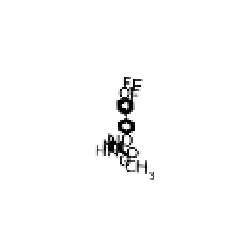 COC(=O)c1[nH]nnc1O[C@H]1CC[C@H](c2ccc(OC(F)(F)F)cc2)CC1